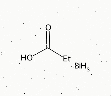 CCC(=O)O.[BiH3]